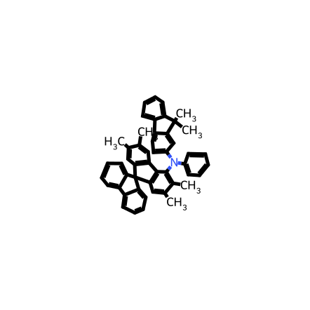 Cc1cc2c(cc1C)C1(c3ccccc3-c3ccccc31)c1cc(C)c(C)c(N(c3ccccc3)c3ccc4c(c3)C(C)(C)c3ccccc3-4)c1-2